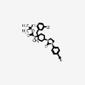 CN(C(=O)OC(C)(C)C)C1(Cc2cccc(Cl)c2)CCC(N2CCN(c3ccc(C#N)cc3)C2=O)CC1